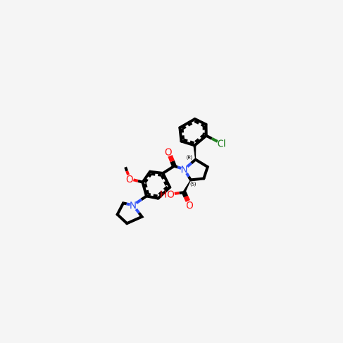 COc1cc(C(=O)N2[C@@H](c3ccccc3Cl)CC[C@H]2C(=O)O)ccc1N1CCCC1